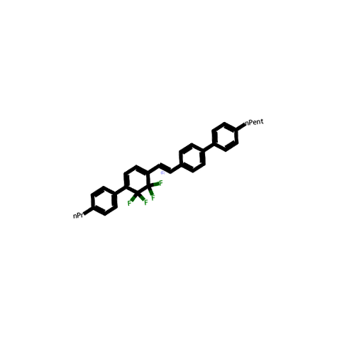 CCCCCc1ccc(-c2ccc(/C=C/C3=CC=C(c4ccc(CCC)cc4)C(F)(F)C3(F)F)cc2)cc1